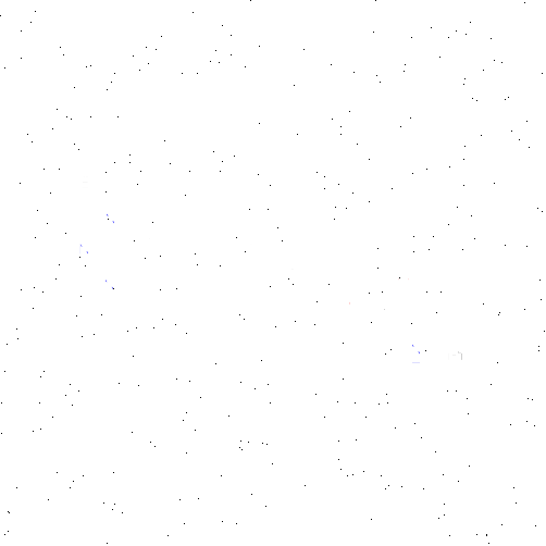 CCn1nnc2c1CCC1C(CC2)C1COC(=O)NC(C)C